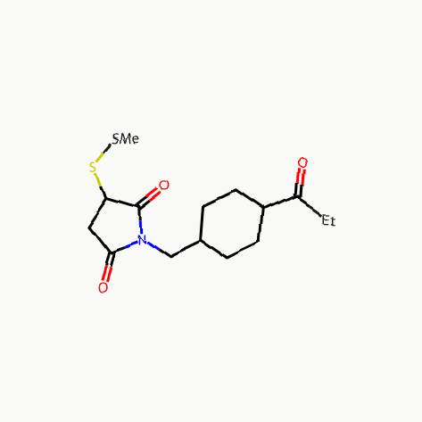 CCC(=O)C1CCC(CN2C(=O)CC(SSC)C2=O)CC1